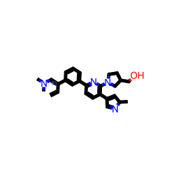 C=C/C(=C\N(C)C)c1cccc(-c2ccc(C3=CC(C)N=C3)c(N3CCC(CO)C3)n2)c1